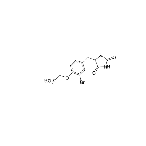 O=C(O)COc1ccc(CC2SC(=O)NC2=O)cc1Br